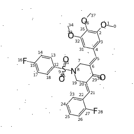 COc1cc(C=C2CN(S(=O)(=O)c3ccc(F)cc3)CC(=Cc3ccccc3F)C2=O)cc(OC)c1OC